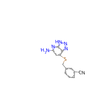 N#Cc1cccc(CSc2cc(N)nc3[nH]nnc23)c1